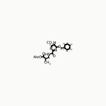 COC(=O)C(C)CNC(=O)c1ncc(C(=O)O)c(OCc2ccccc2)n1